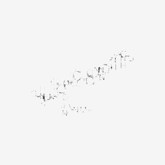 CNc1cncc(COc2cc(O[C@H]3CCc4c(-c5cccc(-c6nc7ccc(CNC[C@@H]8CCC(=O)N8)cn7n6)c5Cl)cccc43)c(Cl)cc2CNC[C@@H]2CCC(=O)N2)c1